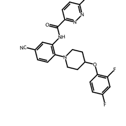 COc1ccc(C(=O)Nc2cc(C#N)ccc2N2CCC(Oc3ccc(F)cc3F)CC2)nn1